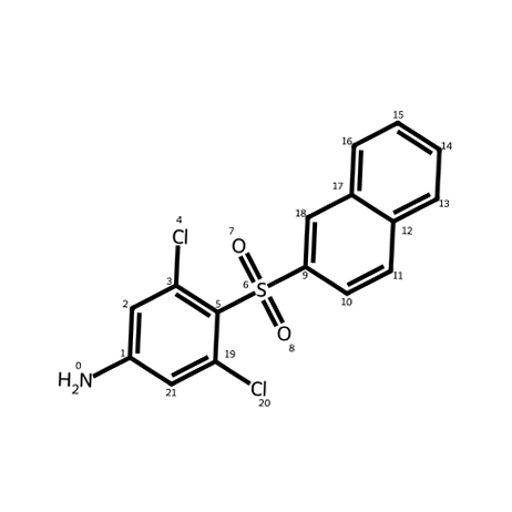 Nc1cc(Cl)c(S(=O)(=O)c2ccc3ccccc3c2)c(Cl)c1